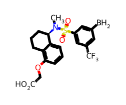 Bc1cc(C(F)(F)F)cc(S(=O)(=O)N(C)[C@@H]2CCCc3c(OCC(=O)O)cccc32)c1